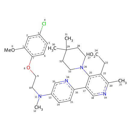 COc1cc(Cl)ccc1OCCN(C)c1ccc(-c2cnc(C)c(CC(=O)O)c2N2CCC(C)(C)CC2)nc1